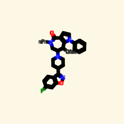 CCCN1CC(N2CCC(c3noc4cc(F)ccc34)CC2)C(OC)c2c(ccn2-c2ccccc2)C1=O